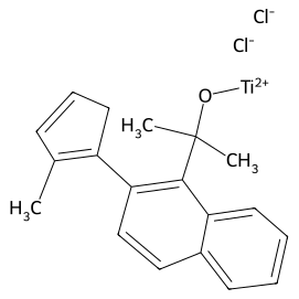 CC1=C(c2ccc3ccccc3c2C(C)(C)[O][Ti+2])CC=C1.[Cl-].[Cl-]